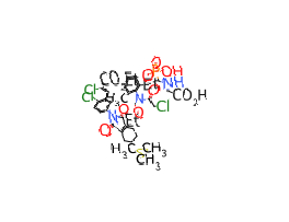 CCOC(=O)/C(Cl)=C/c1cc(N2C(=O)C3=C(CCCC3)C2=O)ccc1Cl.CCOCN(C(=O)CCl)c1c(C)cccc1CC.C[S+](C)C.O=C(O)CNCP(=O)([O-])O